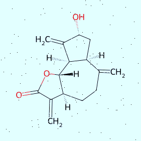 C=C1[C@@H]2[C@H]3OC(=O)C(=C)[C@@H]3CCC(=C)[C@@H]2C[C@H]1O